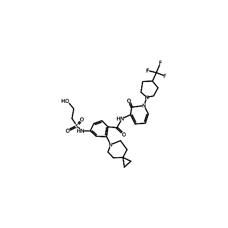 O=C(Nc1cccn(N2CCC(C(F)(F)F)CC2)c1=O)c1ccc(NS(=O)(=O)CCO)cc1N1CCC2(CC1)CC2